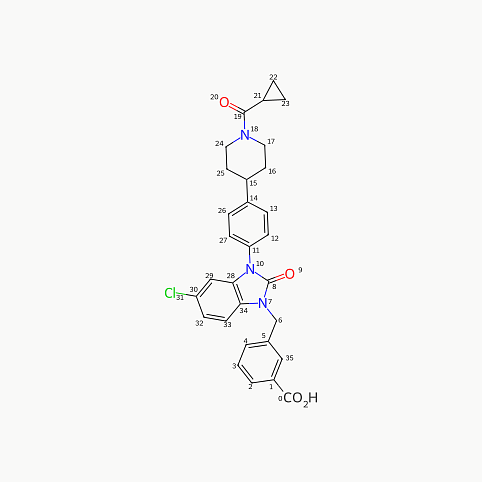 O=C(O)c1cccc(Cn2c(=O)n(-c3ccc(C4CCN(C(=O)C5CC5)CC4)cc3)c3cc(Cl)ccc32)c1